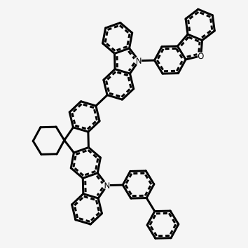 c1ccc(-c2cccc(-n3c4ccccc4c4cc5c(cc43)-c3cc(-c4ccc6c(c4)c4ccccc4n6-c4ccc6oc7ccccc7c6c4)ccc3C53CCCCC3)c2)cc1